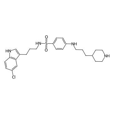 O=S(=O)(NCCCc1c[nH]c2ccc(Cl)cc12)c1ccc(NCCCC2CCNCC2)cc1